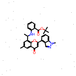 Cc1cc(C(C)Nc2ccccc2C(=O)OC(C)(C)C)c2oc(-c3cccc4c3cnn4C)cc(=O)c2c1